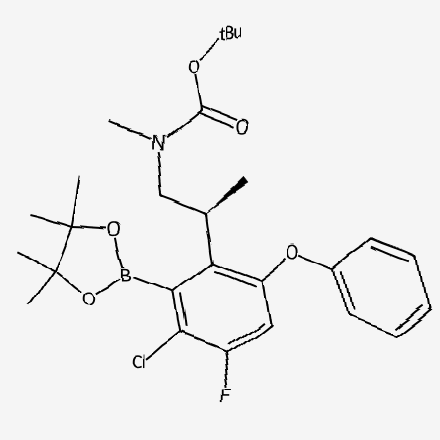 C[C@H](CN(C)C(=O)OC(C)(C)C)c1c(Oc2ccccc2)cc(F)c(Cl)c1B1OC(C)(C)C(C)(C)O1